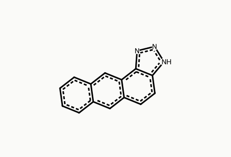 c1ccc2cc3c(ccc4[nH]nnc43)cc2c1